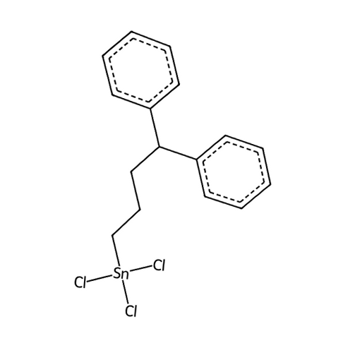 [Cl][Sn]([Cl])([Cl])[CH2]CCC(c1ccccc1)c1ccccc1